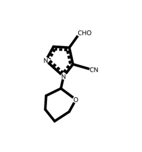 N#Cc1c(C=O)cnn1C1CCCCO1